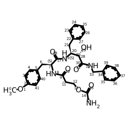 COc1ccc(C[C@H](NC(=O)[CH]COC(N)=O)C(=O)N[C@@H](Cc2ccccc2)[C@H](O)C(=O)NCc2ccccc2)cc1